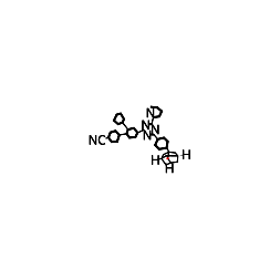 N#Cc1ccc(-c2ccc(-c3nc(-c4ccc(C56C[C@H]7C[C@H](C5)C[C@@H](C6)C7)cc4)nc(-c4ccccn4)n3)cc2-c2ccccc2)cc1